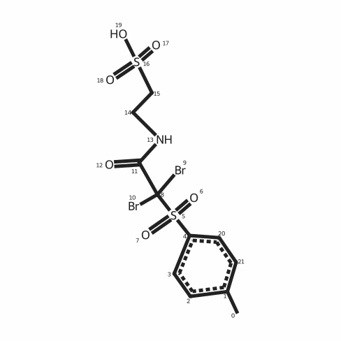 Cc1ccc(S(=O)(=O)C(Br)(Br)C(=O)NCCS(=O)(=O)O)cc1